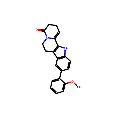 COc1ccccc1-c1ccc2[nH]c3c(c2c1)CCN1C(=O)CCC=C31